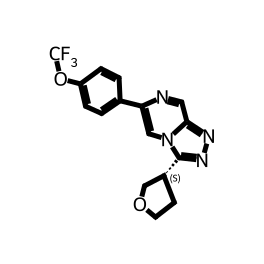 FC(F)(F)Oc1ccc(-c2cn3c([C@@H]4CCOC4)nnc3cn2)cc1